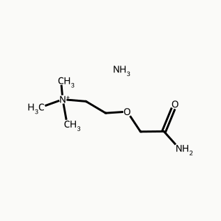 C[N+](C)(C)CCOCC(N)=O.N